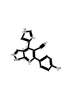 N#Cc1c(-c2ccc(O)cc2)nc2[nH]ncc2c1-c1c[nH]cn1